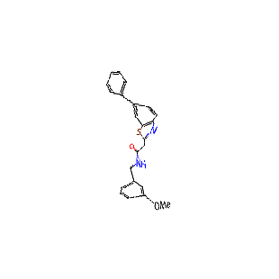 COc1cccc(CNC(=O)Cc2nc3ccc(-c4ccccc4)cc3s2)c1